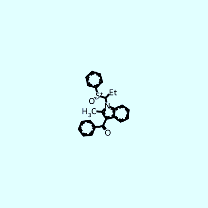 CCC(n1c(C)c(C(=O)c2ccccc2)c2ccccc21)[S+]([O-])c1ccccc1